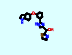 OC(c1c[nH]c(-c2cccc(Oc3ccc4[nH]ccc4c3)c2)n1)c1nccs1